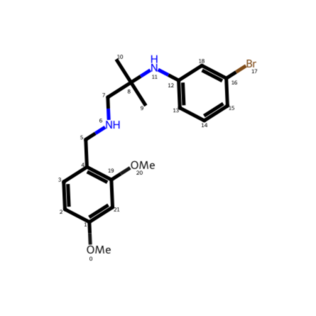 COc1ccc(CNCC(C)(C)Nc2cccc(Br)c2)c(OC)c1